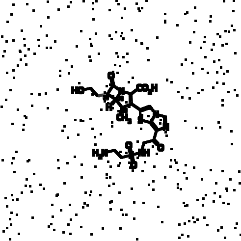 C[C@@H]1C(c2cn3cnc(C(=O)CNS(=O)(=O)CCN)c3s2)=C(C(=O)O)N2C(=O)[C@@H](CCO)[C@@H]12